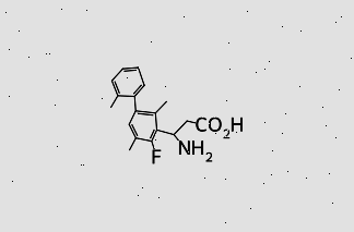 Cc1ccccc1-c1cc(C)c(F)c(C(N)CC(=O)O)c1C